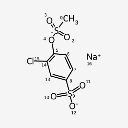 CS(=O)(=O)Oc1ccc(S(=O)(=O)[O-])cc1Cl.[Na+]